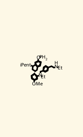 CCCC(C)C1C[C@@H](c2ccc(OC)cc2N(CC)Cc2ccc(CCNCC)cc2)Cc2ccc(OP)cc21